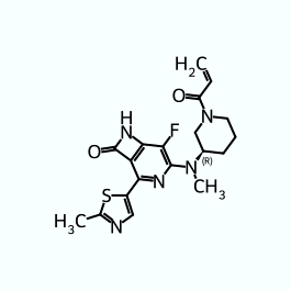 C=CC(=O)N1CCC[C@@H](N(C)c2nc(-c3cnc(C)s3)c3c(c2F)NC3=O)C1